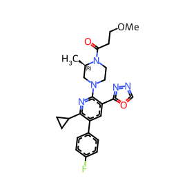 COCCC(=O)N1CCN(c2nc(C3CC3)c(-c3ccc(F)cc3)cc2-c2nnco2)C[C@H]1C